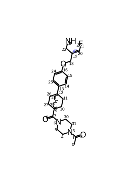 CC(=O)N1CCN(C(=O)C23CCC(c4ccc(OC/C(=C/F)CN)cc4)(CC2)CC3)CC1